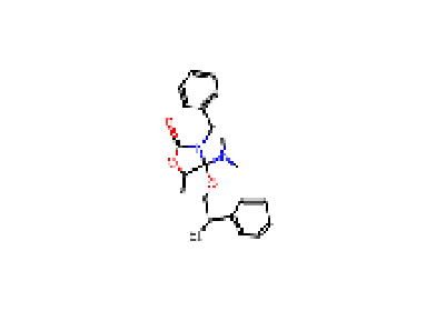 CCC(COC1(N(C)C)C(C)OC(=O)N1Cc1ccccc1)c1ccccc1